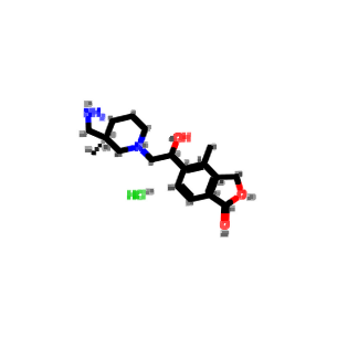 Cc1c(C(O)CN2CCC[C@](C)(CN)C2)ccc2c1COC2=O.Cl